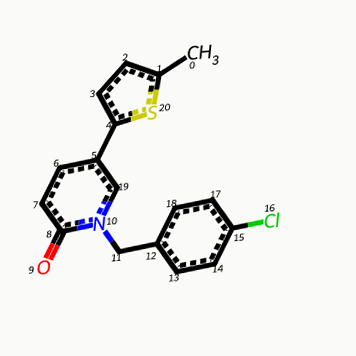 Cc1ccc(-c2ccc(=O)n(Cc3ccc(Cl)cc3)c2)s1